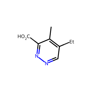 CCc1cnnc(C(=O)O)c1C